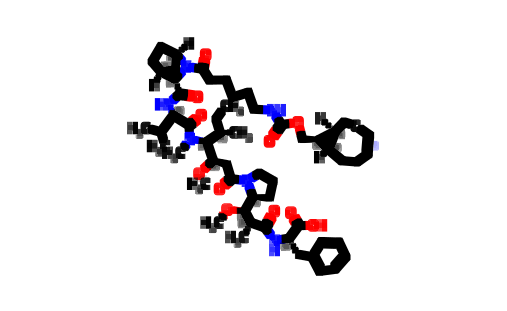 CC[C@H](C)[C@@H]([C@@H](CC(=O)N1CCC[C@H]1[C@H](OC)[C@@H](C)C(=O)N[C@@H](Cc1ccccc1)C(=O)O)OC)N(C)C(=O)[C@@H](NC(=O)[C@@H]1[C@H]2CC[C@H](C2)N1C(=O)CCCCCNC(=O)OC[C@@H]1[C@@H]2CC/C=C\CC[C@@H]21)C(C)C